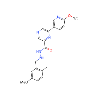 CCOc1ccc(-c2cncc(C(=O)NNCc3cc(OC)ccc3C)n2)cn1